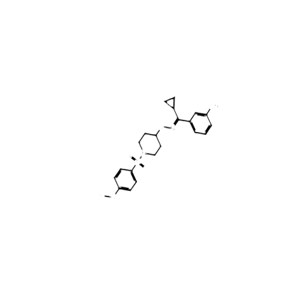 N#Cc1cccc(C(=NOC2CCN(S(=O)(=O)c3ccc(OC(F)(F)F)cc3)CC2)C2CC2)c1